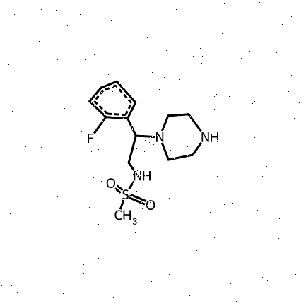 CS(=O)(=O)NCC(c1ccccc1F)N1CCNCC1